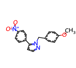 COc1ccc(Cn2nccc2-c2ccc([N+](=O)[O-])cc2)cc1